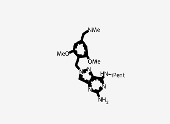 CCC[C@@H](C)Nc1nc(N)nc2cn(Cc3c(OC)cc(CNC)cc3OC)nc12